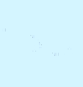 Cc1cc(O)cc(C)c1CC(N)C(=O)NC1CCNc2c(-c3cc4ccccc4o3)cc(Cc3ccccc3)cc21